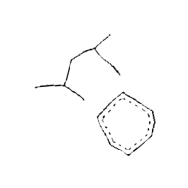 CC(C)CC(C)C.c1ccccc1